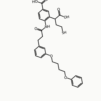 O=C(CCc1cccc(OCCCCOc2ccccc2)c1)Nc1ccc(C(=O)O)cc1C(CCS)C(=O)O